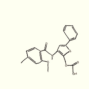 COc1cc(C)ccc1C(=O)N(C)c1cc(-c2ccccc2)sc1OC(=O)O